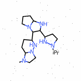 CC(C)N1CCC(C2NC3CCCN3C2C2CCC3N(C)CCN3N2)N1